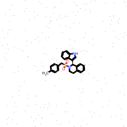 Cc1ccc(CS(=O)(=O)N2CCc3ccccc3[C@@H]2c2c[nH]c3ccccc23)cc1